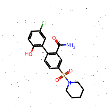 NC(=O)c1cc(S(=O)(=O)N2CCCCC2)ccc1-c1cc(Cl)ccc1O